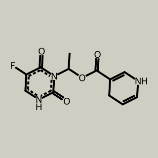 CC(OC(=O)C1=CNC=CC1)n1c(=O)[nH]cc(F)c1=O